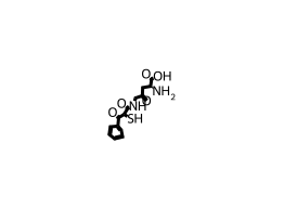 N[C@H](CC(=O)CNC(=O)C(S)C(=O)c1ccccc1)C(=O)O